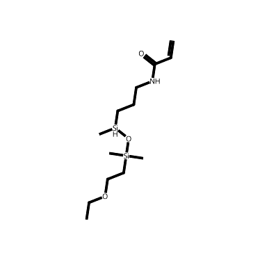 C=CC(=O)NCCC[SiH](C)O[Si](C)(C)CCOCC